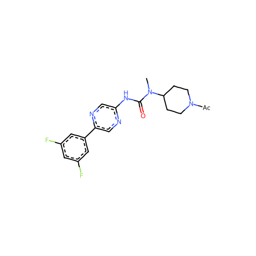 CC(=O)N1CCC(N(C)C(=O)Nc2cnc(-c3cc(F)cc(F)c3)cn2)CC1